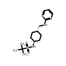 CC(C)(C)S(=O)(=O)N[C@H]1CC[C@H](CNc2ncccn2)CC1